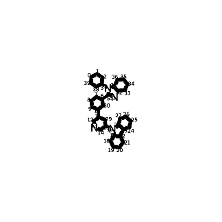 c1ccc(-n2c(-c3cccc(-c4cncc(-n5c6ccccc6c6ccccc65)c4)c3)nc3ccccc32)cc1